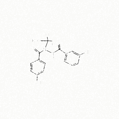 Cc1ccc(C(=O)N(NC(=O)c2cccc(Cl)c2)C(C)(C)C)cc1